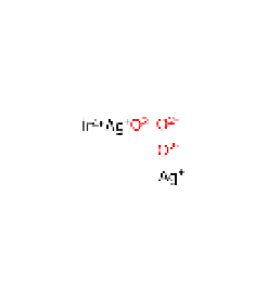 [Ag+].[Ag+].[Ir+4].[O-2].[O-2].[O-2]